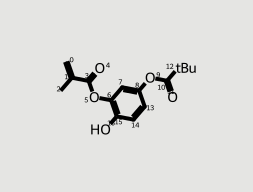 C=C(C)C(=O)Oc1cc(OC(=O)C(C)(C)C)ccc1O